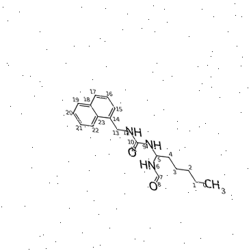 CCCCCC(NC=O)NC(=O)NCc1cccc2ccccc12